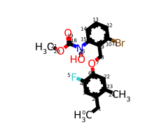 CCc1cc(F)c(OCc2c(Br)cccc2N(O)C(=O)OC)cc1C